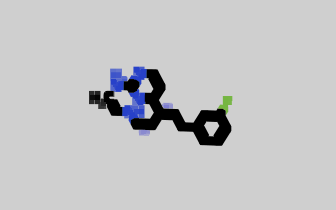 C=CN/C=C\C(=C/Cc1cccc(F)c1)c1ccnc(N)n1